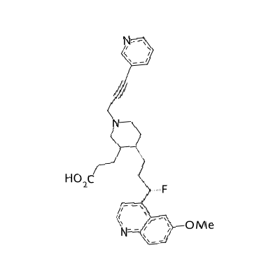 COc1ccc2nccc([C@@H](F)CCC3CCN(CC#Cc4cccnc4)CC3CCC(=O)O)c2c1